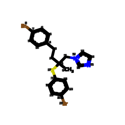 CC(CCc1ccc(Br)cc1)(Cn1ccnc1)Sc1ccc(Br)cc1